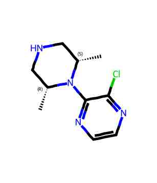 C[C@@H]1CNC[C@H](C)N1c1nccnc1Cl